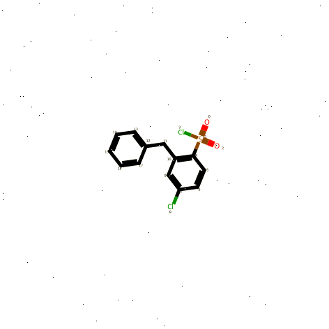 O=S(=O)(Cl)c1ccc(Cl)cc1Cc1ccccc1